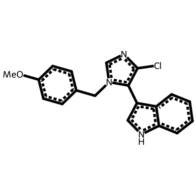 COc1ccc(Cn2cnc(Cl)c2-c2c[nH]c3ccccc23)cc1